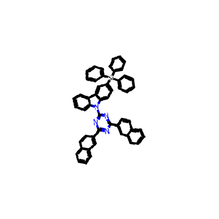 c1ccc([Si](c2ccccc2)(c2ccccc2)c2ccc3c(c2)c2ccccc2n3-c2nc(-c3ccc4ccccc4c3)nc(-c3ccc4ccccc4c3)n2)cc1